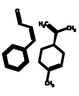 C=C(C)[C@H]1CC=C(C)CC1.O=C/C=C\c1ccccc1